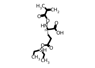 C=C(C)C(=O)ON[C@@H](CCC(=O)O[SiH](CC)CC)C(=O)O